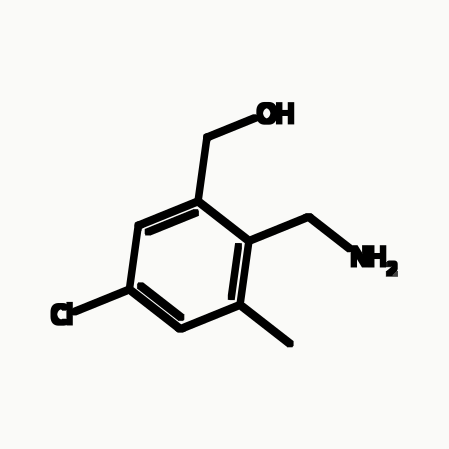 Cc1cc(Cl)cc(CO)c1CN